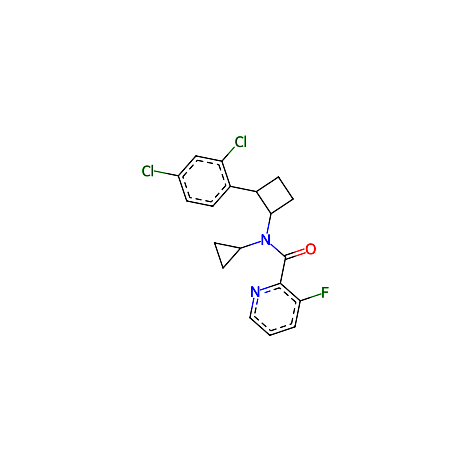 O=C(c1ncccc1F)N(C1CC1)C1CCC1c1ccc(Cl)cc1Cl